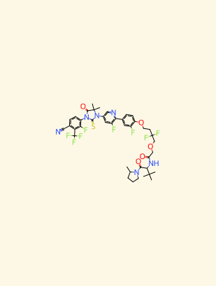 CC1CCCN1C(=O)C(NC(=O)COCC(F)(F)CCOc1ccc(-c2ncc(N3C(=S)N(c4ccc(C#N)c(C(F)(F)F)c4F)C(=O)C3(C)C)cc2F)cc1F)C(C)(C)C